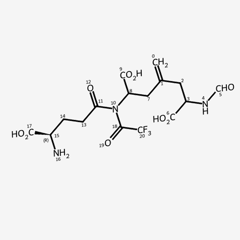 C=C(CC(NC=O)C(=O)O)CC(C(=O)O)N(C(=O)CC[C@@H](N)C(=O)O)C(=O)C(F)(F)F